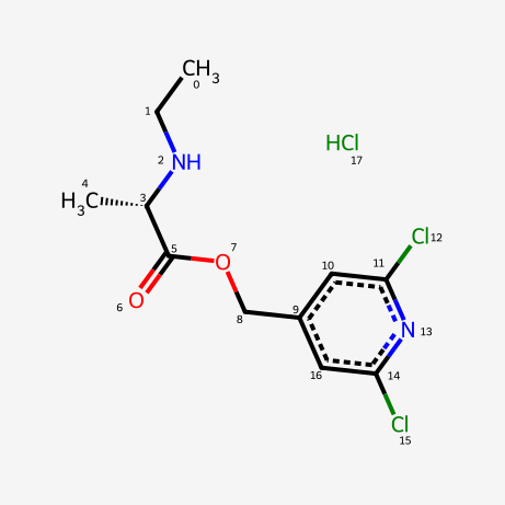 CCN[C@@H](C)C(=O)OCc1cc(Cl)nc(Cl)c1.Cl